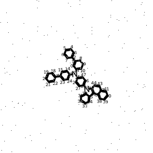 C1=C(c2ccccc2)CCC=C1N(c1ccc(-c2ccccc2)cc1)c1ccc(-n2c3ccccc3c3c4ccccc4ccc32)cc1